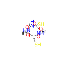 C/C=C1\NC(=O)[C@@H](CS)CC(=O)[C@@H](C(C)C)NC(=O)C[C@H](/C=C/CCS)CC(=O)[C@H](C(C)C)NC1=O